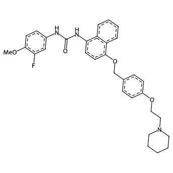 COc1ccc(NC(=O)Nc2ccc(OCc3ccc(OCCN4CCCCC4)cc3)c3ccccc23)cc1F